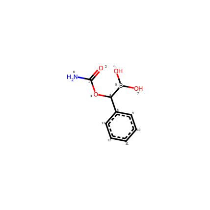 NC(=O)OC(B(O)O)c1ccccc1